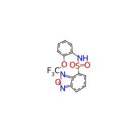 O=S(=O)(Nc1ccccc1OC(F)(F)F)c1cccc2nonc12